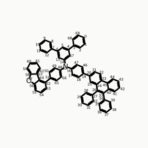 c1ccc(-c2cc(-c3ccccc3)cc(N(c3ccc(-c4ccc5c(c4)c(-c4ccccc4)c(-c4ccccc4)c4ccccc45)cc3)c3ccc(-c4cccc5oc6ccccc6c45)cc3)c2)cc1